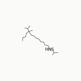 CCCCC(C)(CCCCCCCCNSC(C)C)C(C)C